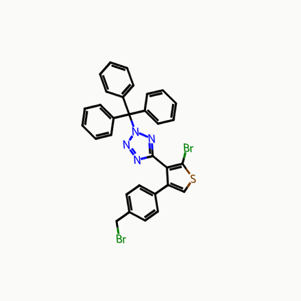 BrCc1ccc(-c2csc(Br)c2-c2nnn(C(c3ccccc3)(c3ccccc3)c3ccccc3)n2)cc1